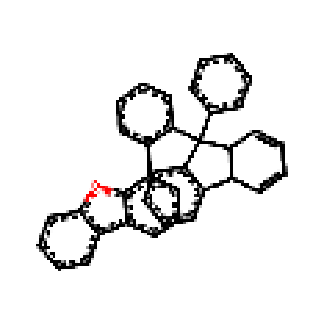 C1=CC2c3ccccc3C(c3ccccc3)(c3ccccc3-c3cccc4c3oc3ccccc34)C2C=C1